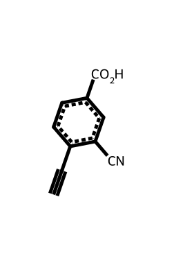 C#Cc1ccc(C(=O)O)cc1C#N